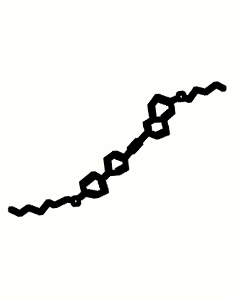 CCCCCCCOc1ccc(-c2ccc(C#Cc3ccc4cc(OCCCCC)ccc4c3)cc2)cc1